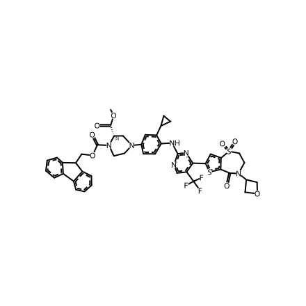 COC(=O)[C@@H]1CN(c2ccc(Nc3ncc(C(F)(F)F)c(-c4cc5c(s4)C(=O)N(C4COC4)CCS5(=O)=O)n3)c(C3CC3)c2)CCN1C(=O)OCC1c2ccccc2-c2ccccc21